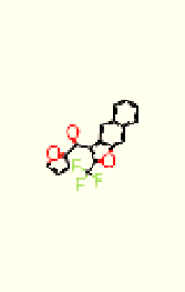 O=C(c1ccco1)c1c(C(F)(F)F)oc2cc3ccccc3cc12